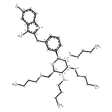 CCCCOC[C@H]1O[C@@H](c2cccc(Cc3sc4ccc(Cl)cc4c3C)c2)[C@H](OCCCC)[C@@H](OCCCC)[C@@H]1OCCCC